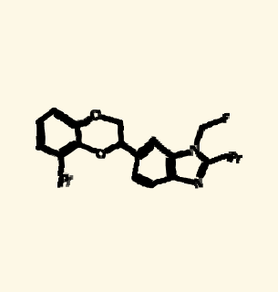 CC(C)c1cccc2c1OC(c1ccc3nc(C(C)C)n(CF)c3c1)CO2